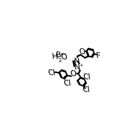 Fc1ccc2c(c1)CC(Cn1cc[n+](CC(OCc3ccc(Cl)cc3Cl)c3ccc(Cl)cc3Cl)c1)O2.O.[Br-]